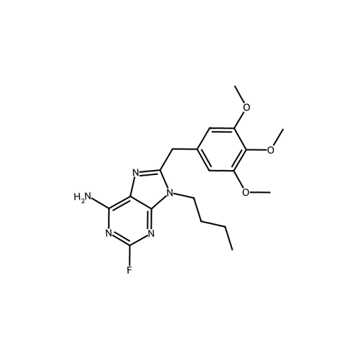 CCCCn1c(Cc2cc(OC)c(OC)c(OC)c2)nc2c(N)nc(F)nc21